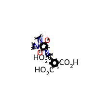 O=C(O)c1cc(C(=O)O)cc(C(=O)O)c1.O=C1C=C(N2CC2)C(=O)C(N2CC2)=C1N1CC1